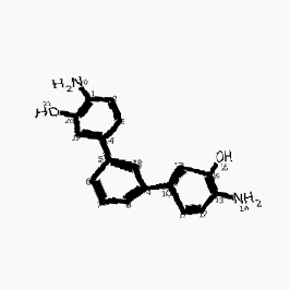 Nc1ccc(-c2cccc(-c3ccc(N)c(O)c3)c2)cc1O